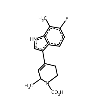 Cc1c(F)ccc2c(C3=CC(C)N(C(=O)O)CC3)c[nH]c12